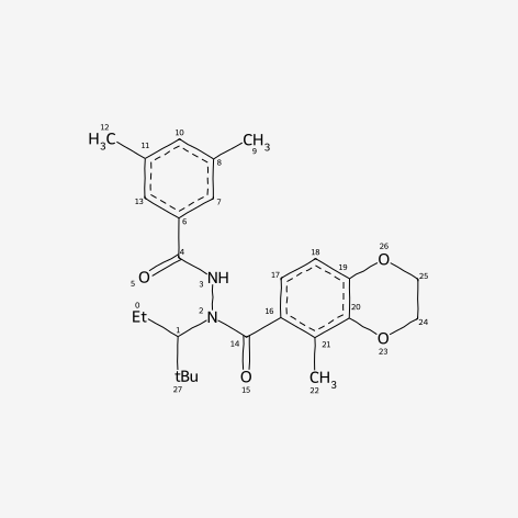 CCC(N(NC(=O)c1cc(C)cc(C)c1)C(=O)c1ccc2c(c1C)OCCO2)C(C)(C)C